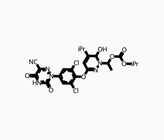 CC(C)OC(=O)OC(C)N1N=C(Oc2c(Cl)cc(-n3nc(C#N)c(=O)[nH]c3=O)cc2Cl)C=C(C(C)C)C1O